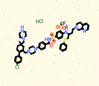 CC1(CN2CCNCC2)CCC(c2ccc(Cl)cc2)=C(CN2CCN(c3ccc(C(=O)NS(=O)(=O)c4ccc(NC(CCN5CCc6cccnc6C5)CSc5ccccc5)c(S(=O)(=O)C(F)(F)F)c4)cc3)CC2)C1.Cl